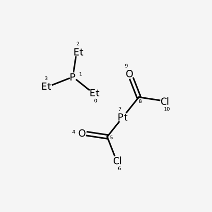 CCP(CC)CC.O=[C](Cl)[Pt][C](=O)Cl